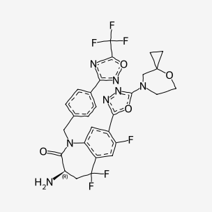 N[C@@H]1CC(F)(F)c2cc(F)c(-c3nnc(N4CCOC5(CC5)C4)o3)cc2N(Cc2ccc(-c3noc(C(F)(F)F)n3)cc2)C1=O